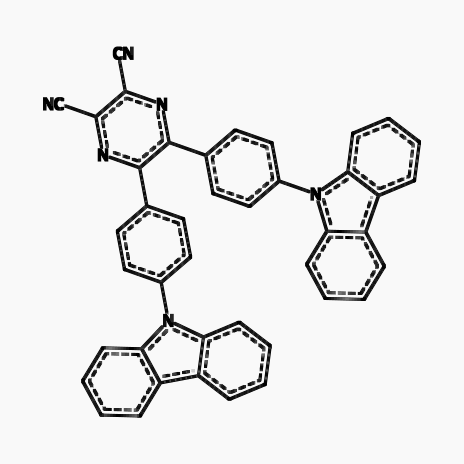 N#Cc1nc(-c2ccc(-n3c4ccccc4c4ccccc43)cc2)c(-c2ccc(-n3c4ccccc4c4ccccc43)cc2)nc1C#N